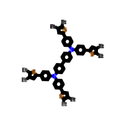 CCc1cc(-c2ccc(N(c3ccc(-c4ccc(N(c5ccc(-c6cc(CC)c(CC)s6)cc5)c5ccc(-c6cc(CC)c(CC)s6)cc5)cc4)cc3)c3ccc(-c4cc(CC)c(CC)s4)cc3)cc2)sc1CC